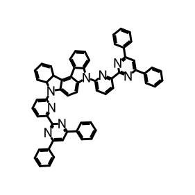 C1=CC2c3c(ccc4c3c3ccccc3n4-c3cccc(-c4nc(-c5ccccc5)cc(-c5ccccc5)n4)n3)N(c3cccc(-c4nc(-c5ccccc5)cc(-c5ccccc5)n4)n3)C2C=C1